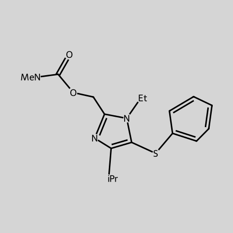 CCn1c(COC(=O)NC)nc(C(C)C)c1Sc1ccccc1